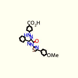 COc1ccc(-c2csc(N3N=C(c4ccccc4)/C(=N\Nc4ccc(C(=O)O)cc4)C3=O)n2)cc1